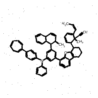 C#CC1(C)C(/C=C\C)=CC=CC1C1CCCc2c1oc1c(-c3cc(C4C(C)C=CC5C=CC=CC54)cc(N(c4ccccc4)c4ccc(C5=CCC=CC=C5)cc4)c3)cccc21